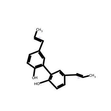 C/C=C/c1ccc(O)c(-c2cc(/C=C/C)ccc2O)c1